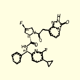 O=C(N[C@H](c1ccccc1)c1ccc(C2CC2)c(F)n1)[C@@H]1C[C@@H](F)CN1C(=O)Cc1cccn2c(=O)[nH]nc12